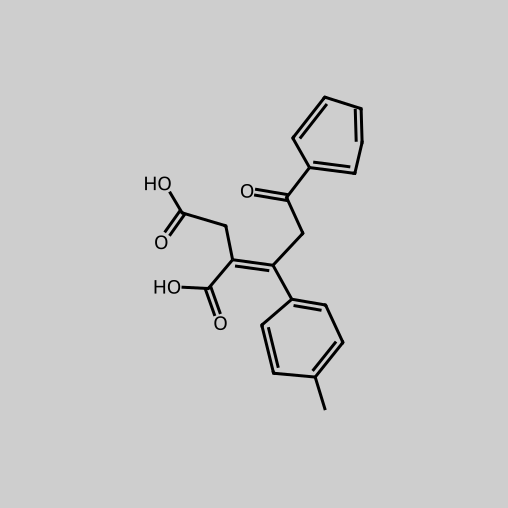 Cc1ccc(C(CC(=O)c2ccccc2)=C(CC(=O)O)C(=O)O)cc1